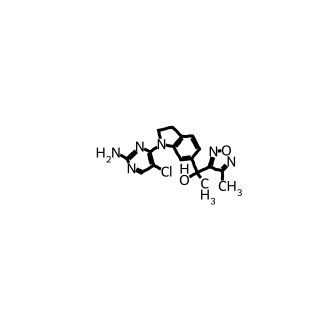 Cc1nonc1C(C)(O)c1ccc2c(c1)N(c1nc(N)ncc1Cl)CC2